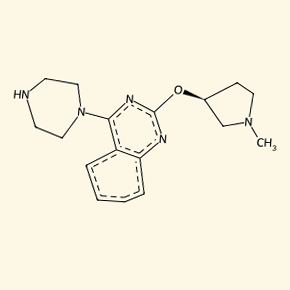 CN1CC[C@H](Oc2nc(N3CCNCC3)c3ccccc3n2)C1